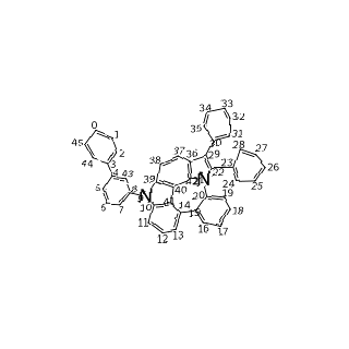 c1ccc(-c2cccc(-n3c4cccc5c6ccccc6n6c(-c7ccccc7)c(-c7ccccc7)c7ccc3c(c54)c76)c2)cc1